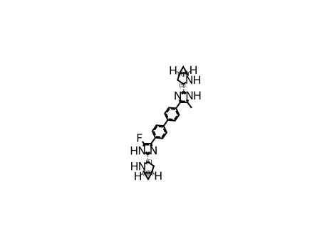 Cc1[nH]c([C@@H]2C[C@H]3C[C@H]3N2)nc1-c1ccc(-c2ccc(-c3nc([C@@H]4C[C@H]5C[C@H]5N4)[nH]c3F)cc2)cc1